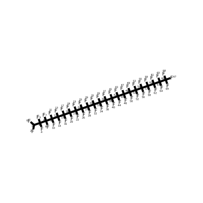 FC(F)C(F)(F)C(F)(F)C(F)(F)C(F)(F)C(F)(F)C(F)(F)C(F)(F)C(F)(F)C(F)(F)C(F)(F)C(F)(F)C(F)(F)C(F)(F)C(F)(F)C(F)(F)C(F)(F)C(F)(F)C(F)(F)C(F)(F)C(F)(F)C(F)(F)C(F)(F)F